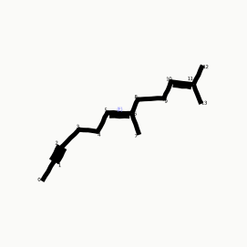 CC#CCC/C=C(\C)CCC=C(C)C